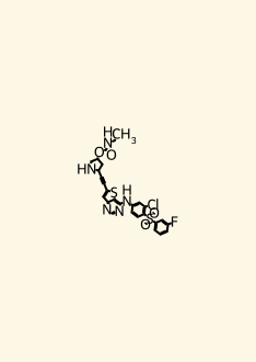 CCNC(=O)OC1CNC(C#Cc2cc3ncnc(Nc4ccc(S(=O)(=O)c5cccc(F)c5)c(Cl)c4)c3s2)C1